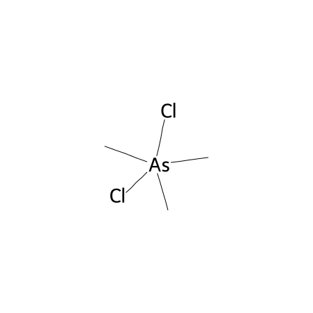 C[As](C)(C)(Cl)Cl